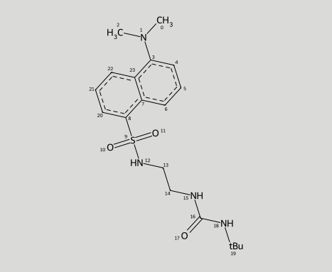 CN(C)c1cccc2c(S(=O)(=O)NCCNC(=O)NC(C)(C)C)cccc12